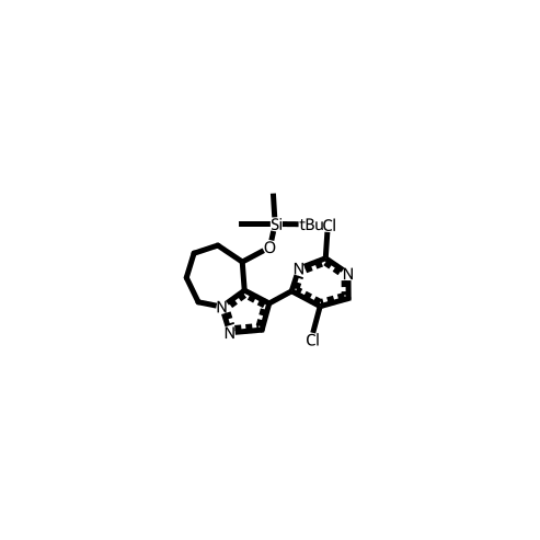 CC(C)(C)[Si](C)(C)OC1CCCCn2ncc(-c3nc(Cl)ncc3Cl)c21